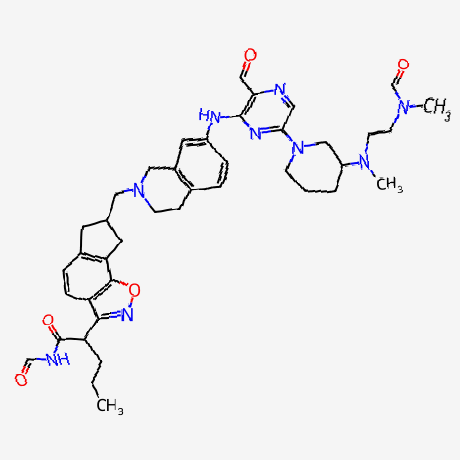 CCCC(C(=O)NC=O)c1noc2c3c(ccc12)CC(CN1CCc2ccc(Nc4nc(N5CCCC(N(C)CCN(C)C=O)C5)cnc4C=O)cc2C1)C3